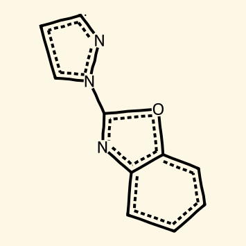 [c]1ccn(-c2nc3ccccc3o2)n1